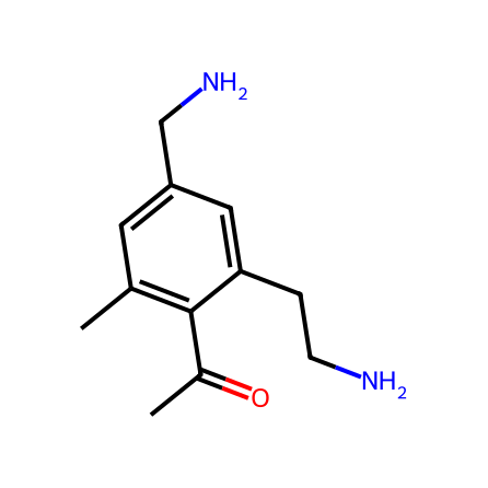 CC(=O)c1c(C)cc(CN)cc1CCN